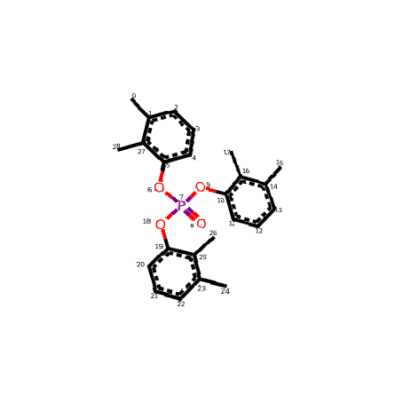 Cc1cccc(OP(=O)(Oc2cccc(C)c2C)Oc2cccc(C)c2C)c1C